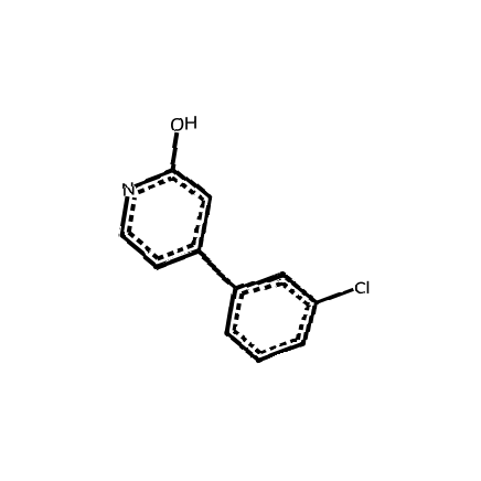 Oc1cc(-c2cccc(Cl)c2)ccn1